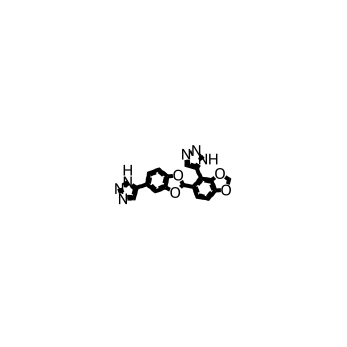 c1cc2c(cc1-c1cnn[nH]1)OC(c1ccc3c(c1-c1cnn[nH]1)OCO3)O2